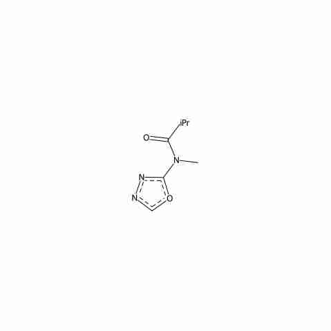 CC(C)C(=O)N(C)c1nnco1